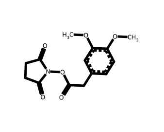 COc1ccc(CC(=O)ON2C(=O)CCC2=O)cc1OC